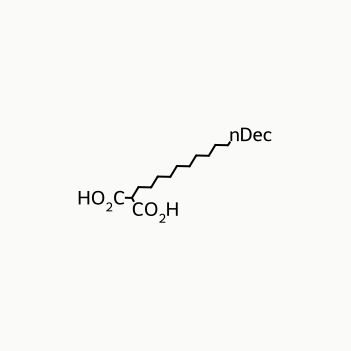 CCCCCCCCCCCCCCCCCCCCC(C(=O)O)C(=O)O